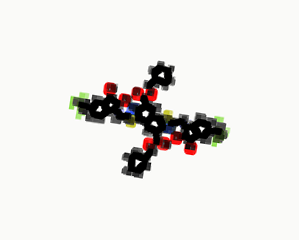 O=C(OCc1ccccc1)C1=CC2c3sc(/C=C4\C(=O)C(=O)c5cc(C(F)(F)F)ccc54)nc3C(C(=O)OCc3ccccc3)=CC2c2sc(/C=C3\C(=O)C(=O)c4cc(C(F)(F)F)ccc43)nc21